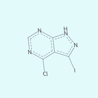 Clc1ncnc2[nH]nc(I)c12